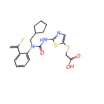 C=C(F)c1ccccc1N(CC1CCCC1)C(=O)Nc1ncc(SCC(=O)O)s1